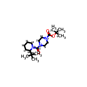 CC(C)(C)OC(=O)N1CCN(C(=O)N2CCCCC2C(C)(C)C)CC1